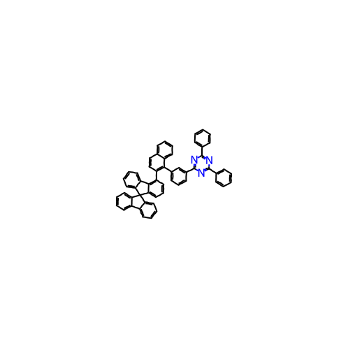 c1ccc(-c2nc(-c3ccccc3)nc(-c3cccc(-c4c(-c5cccc6c5-c5ccccc5C65c6ccccc6-c6ccccc65)ccc5ccccc45)c3)n2)cc1